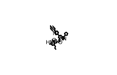 CCCc1cc(C)[nH]c(=O)c1CNC(=O)c1cc(-c2ccc(N3CCN(C)CC3)nc2)cc2c(C3CCCC3)ncn12